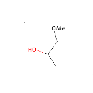 [CH2]C(O)COC